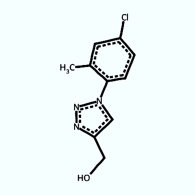 Cc1cc(Cl)ccc1-n1cc(CO)nn1